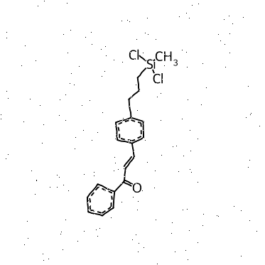 C[Si](Cl)(Cl)CCCc1ccc(C=CC(=O)c2ccccc2)cc1